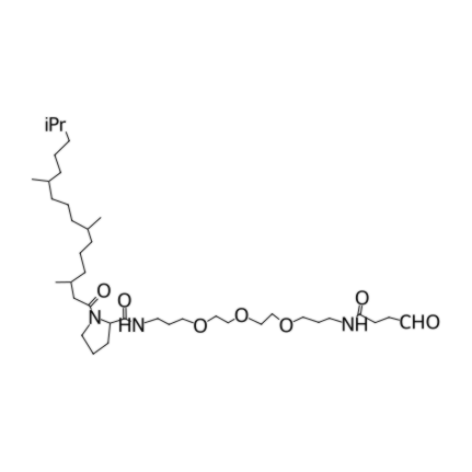 CC(C)CCCC(C)CCCC(C)CCCC(C)CC(=O)N1CCCC1C(=O)NCCCOCCOCCOCCCNC(=O)CCC=O